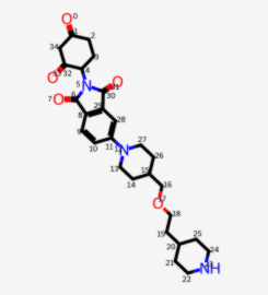 O=C1CCC(N2C(=O)c3ccc(N4CCC(COCCC5CCNCC5)CC4)cc3C2=O)C(=O)C1